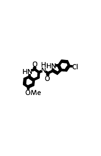 COc1ccc2c(c1)CC(NC(=O)c1cc3cc(Cl)ccc3[nH]1)C(=O)N2